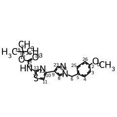 COc1ccc(Cn2cc(-c3csc(NC(=O)OC(C)(C)C)n3)cn2)cc1